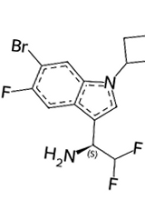 N[C@@H](c1cn(C2CCC2)c2cc(Br)c(F)cc12)C(F)F